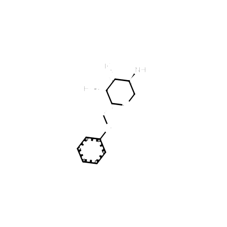 N[C@H]1CO[C@H](COc2ccccc2)[C@H](O)[C@@H]1O